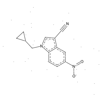 N#Cc1cn(CC2CC2)c2ccc([N+](=O)[O-])cc12